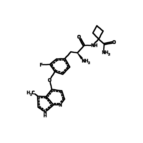 Cc1c[nH]c2nccc(Oc3ccc(C[C@H](N)C(=O)NC4(C(N)=O)CCC4)cc3F)c12